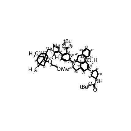 COCCOC12CC3(C)CC(C)(CC(Cn4ncc(-c5ccc(N6CCc7cc(N8CCC(NC(=O)OC(C)(C)C)C8)cc(C(=O)O)c7C6Cc6ccccc6)nc5C(=O)OC(C)(C)C)c4C)(C3)C1)C2